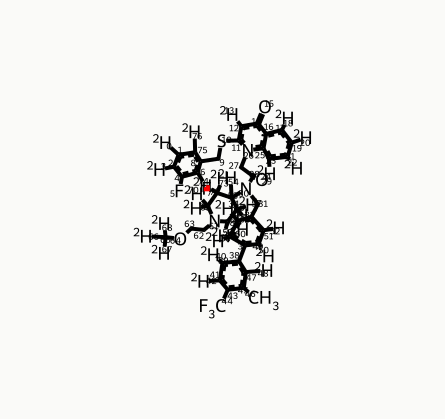 [2H]c1c([2H])c(F)c(F)c(CSc2c([2H])c(=O)c3c([2H])c([2H])c([2H])c([2H])c3n2CC(=O)N(Cc2c([2H])c([2H])c(-c3c([2H])c([2H])c(C(F)(F)F)c(C)c3[2H])c([2H])c2[2H])C2([2H])C([2H])([2H])C([2H])([2H])N(CCOC([2H])([2H])[2H])C([2H])([2H])C2([2H])[2H])c1[2H]